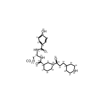 O=C(O)C[C@H](NC(=O)c1ccc(O)cc1)NC(=O)[C@@H]1CCCN(C(=O)CCC2CCNCC2)C1